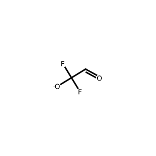 [O]C(F)(F)C=O